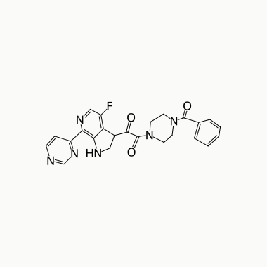 O=C(C(=O)N1CCN(C(=O)c2ccccc2)CC1)C1CNc2c(-c3ccncn3)ncc(F)c21